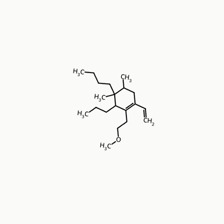 C=CC1=C(CCOC)C(CCC)C(C)(CCCC)C(C)C1